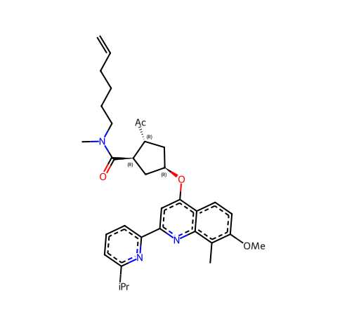 C=CCCCCN(C)C(=O)[C@@H]1C[C@H](Oc2cc(-c3cccc(C(C)C)n3)nc3c(C)c(OC)ccc23)C[C@H]1C(C)=O